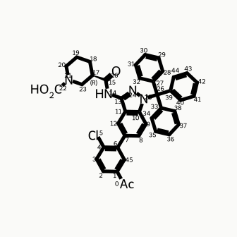 CC(=O)c1ccc(Cl)c(-c2ccc3c(c2)c(NC(=O)[C@@H]2CCCN(C(=O)O)C2)nn3C(c2ccccc2)(c2ccccc2)c2ccccc2)c1